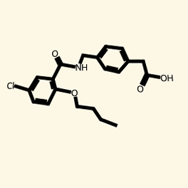 CCCCOc1ccc(Cl)cc1C(=O)NCc1ccc(CC(=O)O)cc1